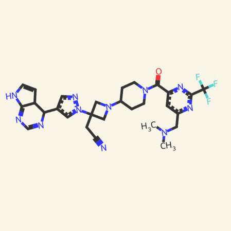 CN(C)Cc1cc(C(=O)N2CCC(N3CC(CC#N)(n4cc(C5N=CN=C6NC=CC65)cn4)C3)CC2)nc(C(F)(F)F)n1